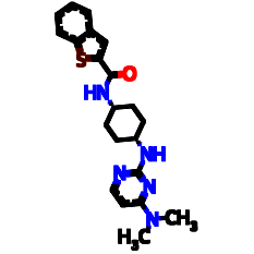 CN(C)c1ccnc(N[C@H]2CC[C@@H](NC(=O)c3cc4ccccc4s3)CC2)n1